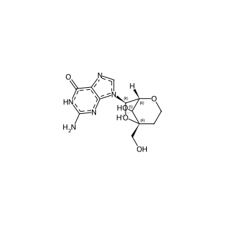 Nc1nc2c(ncn2[C@@H]2O[C@@]3(CO)CCO[C@@H]2[C@@H]3O)c(=O)[nH]1